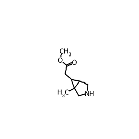 COC(=O)CC1C2CNCC21C